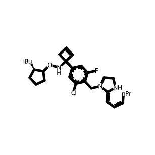 CCC/C=C\C=C1/NCCN1Cc1c(F)cc(C2(NOC3CCC[C@H]3C(C)CC)C=CC2)cc1Cl